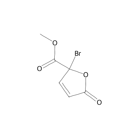 COC(=O)C1(Br)C=CC(=O)O1